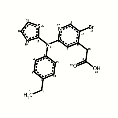 CCc1ccc(N(c2cc(CC(=O)O)c(Br)cn2)c2nccs2)cc1